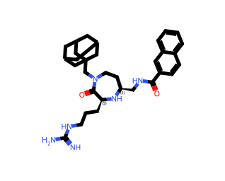 N=C(N)NCCC[C@@H]1N[C@H](CNC(=O)c2ccc3ccccc3c2)CCN(CC23CC4CC(CC(C4)C2)C3)C1=O